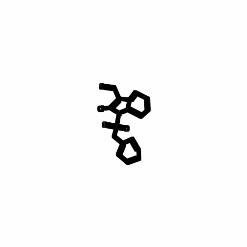 O=Cc1c(Cl)n(S(=O)(=O)Cc2ccccc2)c2ccccc12